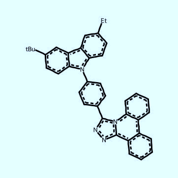 CCc1ccc2c(c1)c1cc(C(C)(C)C)ccc1n2-c1ccc(-c2nnc3c4ccccc4c4ccccc4n23)cc1